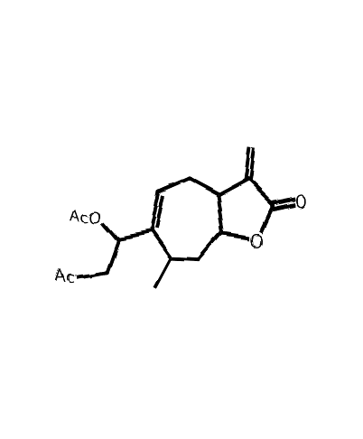 C=C1C(=O)OC2CC(C)C(C(CC(C)=O)OC(C)=O)=CCC12